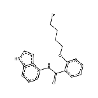 O=C(Nc1cccc2[nH]ccc12)c1ccccc1OCCCCBr